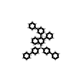 c1ccc(-c2ccc(N(c3ccc(-c4ccccc4)cc3)c3cc(-c4ccccc4)c(-c4cccc(-c5ccccc5)c4)c4ccccc34)cc2)cc1